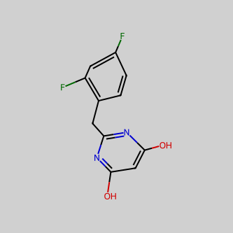 Oc1cc(O)nc(Cc2ccc(F)cc2F)n1